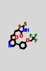 O=C1NC(=S)SC1=Cc1cc2cncc(-c3cccc(OCC(F)(F)F)c3)c2o1